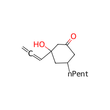 C=C=CC1(O)CC(=O)CC(CCCCC)C1